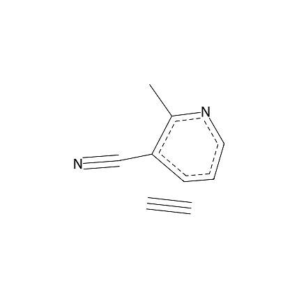 C#C.Cc1ncccc1C#N